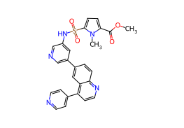 COC(=O)c1ccc(S(=O)(=O)Nc2cncc(-c3ccc4nccc(-c5ccncc5)c4c3)c2)n1C